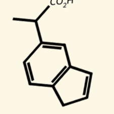 CC(C(=O)O)c1ccc2c(c1)C=CC2